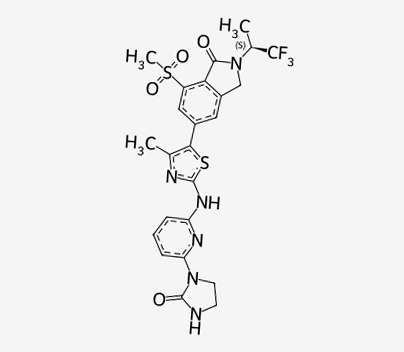 Cc1nc(Nc2cccc(N3CCNC3=O)n2)sc1-c1cc2c(c(S(C)(=O)=O)c1)C(=O)N([C@@H](C)C(F)(F)F)C2